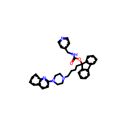 O=C(NCc1ccncc1)OC1(CCCCN2CCN(c3ccc4ccccc4n3)CC2)c2ccccc2-c2ccccc21